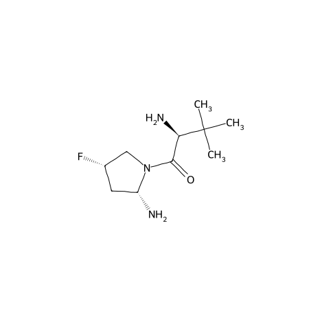 CC(C)(C)[C@H](N)C(=O)N1C[C@@H](F)C[C@H]1N